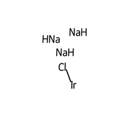 [Cl][Ir].[NaH].[NaH].[NaH]